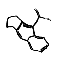 CCCCC(=O)c1c2c(cc3ccccc13)CCC2